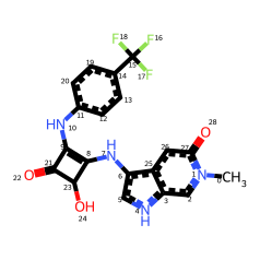 Cn1cc2[nH]cc(NC3=C(Nc4ccc(C(F)(F)F)cc4)C(=O)C3O)c2cc1=O